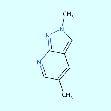 Cc1cnc2nn(C)cc2c1